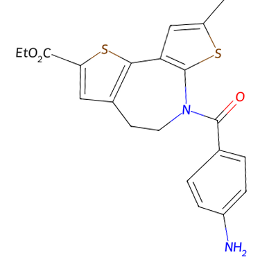 CCOC(=O)c1cc2c(s1)-c1cc(C)sc1N(C(=O)c1ccc(N)cc1)CC2